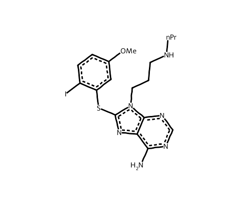 CCCNCCCn1c(Sc2cc(OC)ccc2I)nc2c(N)ncnc21